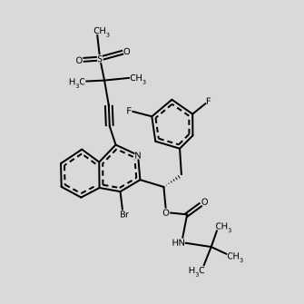 CC(C)(C)NC(=O)O[C@@H](Cc1cc(F)cc(F)c1)c1nc(C#CC(C)(C)S(C)(=O)=O)c2ccccc2c1Br